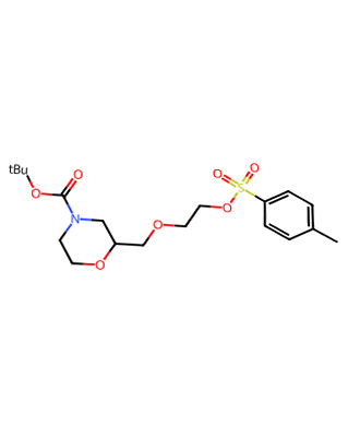 Cc1ccc(S(=O)(=O)OCCOCC2CN(C(=O)OC(C)(C)C)CCO2)cc1